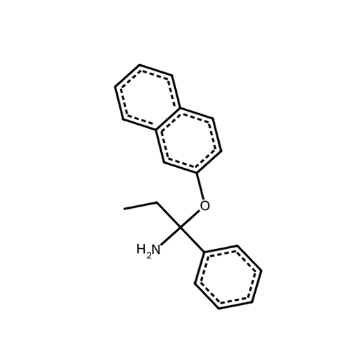 CCC(N)(Oc1ccc2ccccc2c1)c1ccccc1